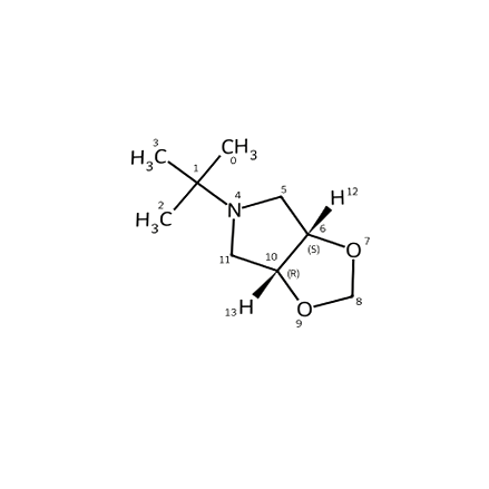 CC(C)(C)N1C[C@@H]2OCO[C@@H]2C1